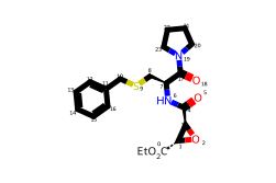 CCOC(=O)[C@H]1O[C@@H]1C(=O)N[C@@H](CSCc1ccccc1)C(=O)N1CCCC1